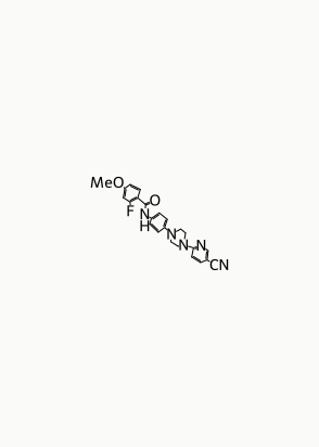 COc1ccc(C(=O)Nc2ccc(N3CCN(c4ccc(C#N)cn4)CC3)cc2)c(F)c1